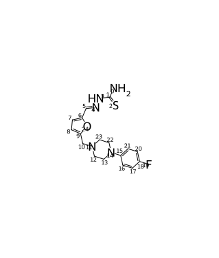 NC(=S)NN=Cc1ccc(CN2CCN(c3ccc(F)cc3)CC2)o1